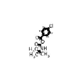 CC(C)(C)NC(=O)OC(=O)c1ccc(Cl)cc1